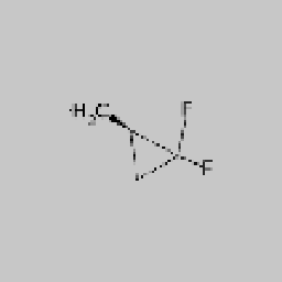 [CH2][C@@H]1CC1(F)F